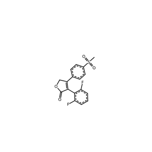 CS(=O)(=O)c1ccc(C2=C(c3c(F)cccc3F)C(=O)OC2)cc1